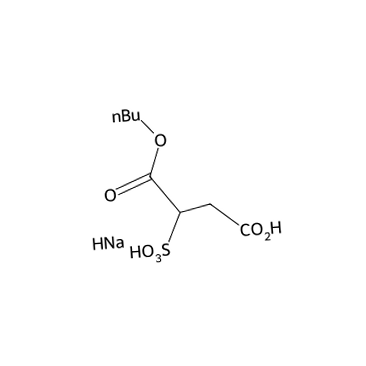 CCCCOC(=O)C(CC(=O)O)S(=O)(=O)O.[NaH]